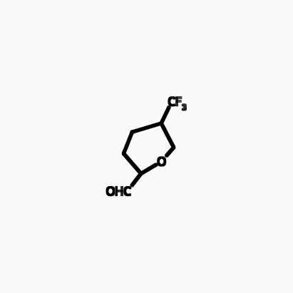 O=CC1CCC(C(F)(F)F)CO1